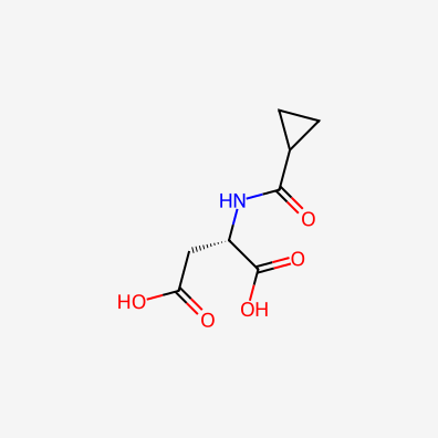 O=C(O)C[C@H](NC(=O)C1CC1)C(=O)O